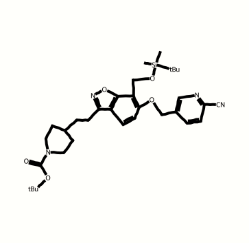 CC(C)(C)OC(=O)N1CCC(CCc2noc3c(CO[Si](C)(C)C(C)(C)C)c(OCc4ccc(C#N)nc4)ccc23)CC1